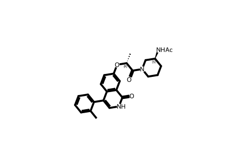 CC(=O)N[C@H]1CCCN(C(=O)[C@@H](C)Oc2ccc3c(-c4ccccc4C)c[nH]c(=O)c3c2)C1